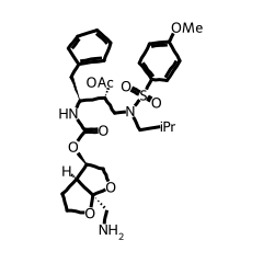 COc1ccc(S(=O)(=O)N(CC(C)C)C[C@@H](OC(C)=O)[C@H](Cc2ccccc2)NC(=O)O[C@H]2CO[C@@]3(CN)OCC[C@@H]23)cc1